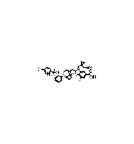 C[C@]1(c2ccc(Cl)cn2)Oc2cccc(N3CCN(Cc4nc5c(F)cc(C(=O)O)cc5n4CC4(CC#N)CC4)[C@@H]4CC[C@H]43)c2O1